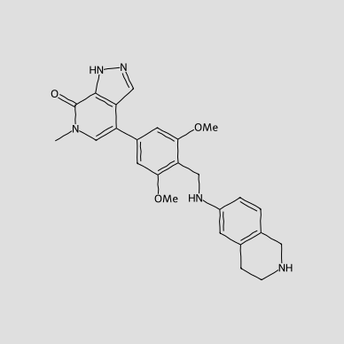 COc1cc(-c2cn(C)c(=O)c3[nH]ncc23)cc(OC)c1CNc1ccc2c(c1)CCNC2